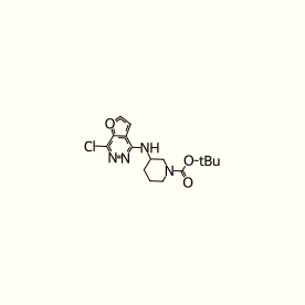 CC(C)(C)OC(=O)N1CCCC(Nc2nnc(Cl)c3occc23)C1